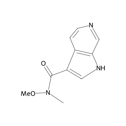 CON(C)C(=O)c1c[nH]c2cnccc12